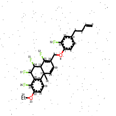 C=CCCc1ccc(OCC2=C(F)C3C(F)C(F)c4c(ccc(OCC)c4F)C3(C)C=C2)c(F)c1